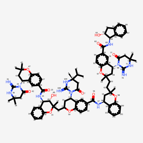 CC(C)[C@]1(C)CC(=O)N([C@@H]2CC(CC3(C)Oc4ccccc4[C@@H](NC(=O)c4ccc5c(c4)[C@H](N4C(=N)NC(C)(C)CC4=O)CC(C)(C)O5)[C@@H]3O)Oc3ccc(C(=O)N[C@H]4CC(C)(CCC5(C)C[C@@H](N6C(=N)NC(C)(C)CC6=O)c6cc(C(=O)N[C@@H]7c8ccccc8C[C@H]7O)ccc6O5)Oc5ccccc54)cc32)C(=N)N1